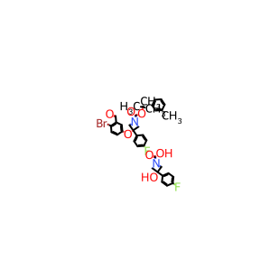 CC(C)(C)OC(=O)N1CC(Oc2ccc(Br)c(C=O)c2)(c2ccc(F)cc2)C1.Cc1ccccc1.O=C(O)N1CC(O)(c2ccc(F)cc2)C1